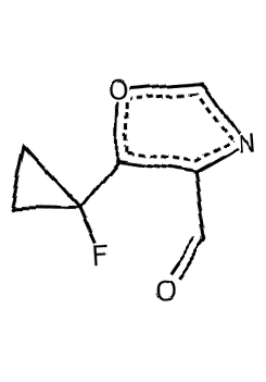 O=Cc1ncoc1C1(F)CC1